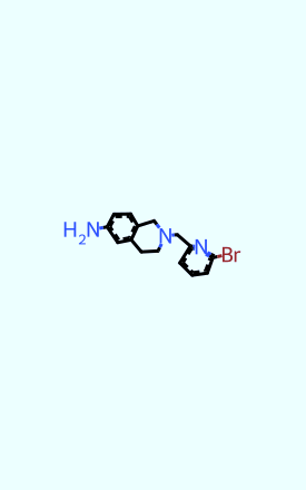 Nc1ccc2c(c1)CCN(Cc1cccc(Br)n1)C2